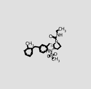 CCNC(=O)N1CCC[C@H](NS(C)(=O)=O)[C@@H]1Cc1cccc(Cc2ccccc2C)c1